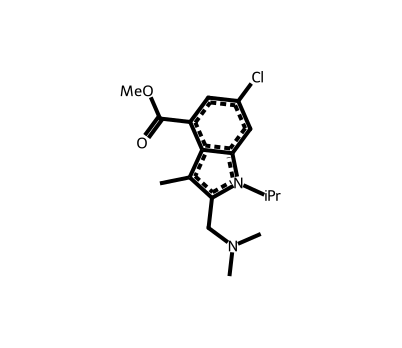 COC(=O)c1cc(Cl)cc2c1c(C)c(CN(C)C)n2C(C)C